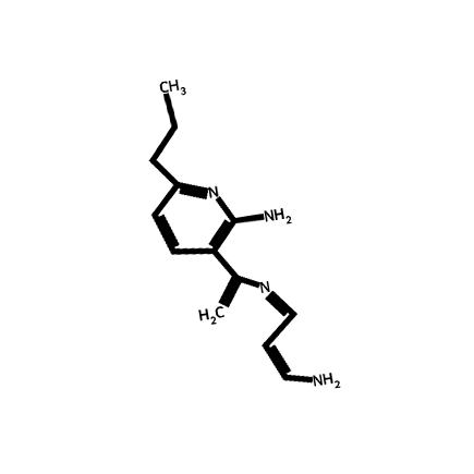 C=C(/N=C\C=C/N)c1ccc(CCC)nc1N